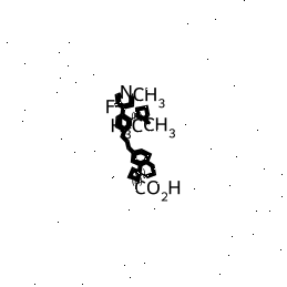 Cc1cc(-c2ccc(CCCc3ccc4c(c3)[C@@]3(CCC4)CC[C@H]3C(=O)O)cc2[C@@H]2CCCC2(C)C)c(F)cn1